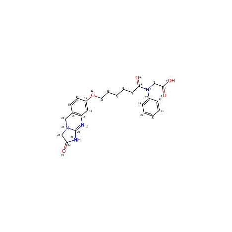 O=C(O)CN(C(=O)CCCCCOc1ccc2c(c1)N=C1NC(=O)CN1C2)c1ccccc1